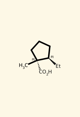 CC[C@@H]1CCC[C@@]1(C)C(=O)O